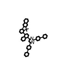 CC1(C)c2cc3ccccc3cc2-c2cccc(-c3ccc(-c4cc(-c5ccc(-c6ccccc6)cc5)nc(-c5ccc(-c6ccccc6)cc5)n4)c4ccccc34)c21